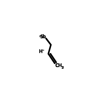 C=C[CH2][Sb].[H-]